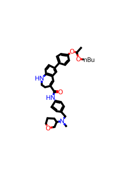 CCCCOC(C)Oc1ccc(-c2ccc3c(c2)C=C(C(=O)Nc2ccc(CN(C)C4CCCOC4)cc2)CCN3)cc1